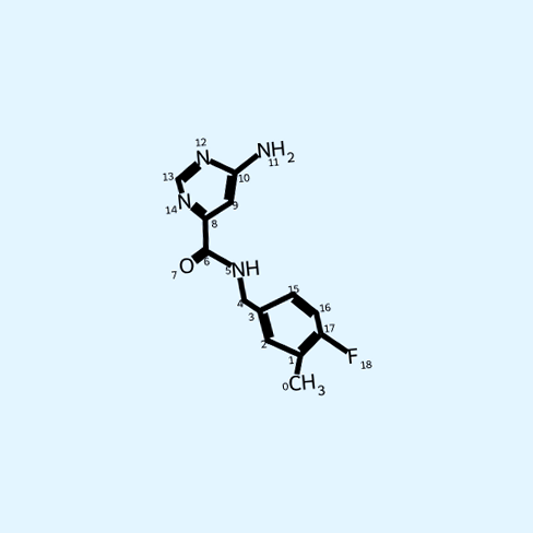 Cc1cc(CNC(=O)c2cc(N)ncn2)ccc1F